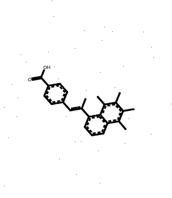 C/C(=C\c1ccc(C(=O)O)cc1)c1cccc2c(C)c(C)c(C)c(C)c12